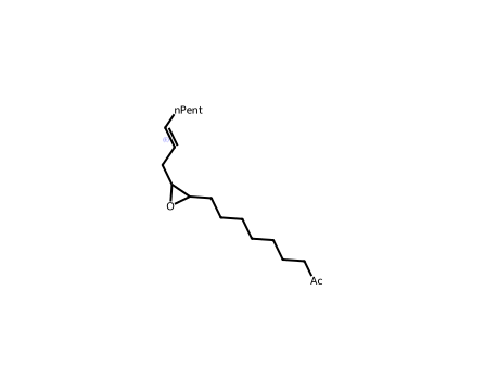 CCCCC/C=C/CC1OC1CCCCCCCC(C)=O